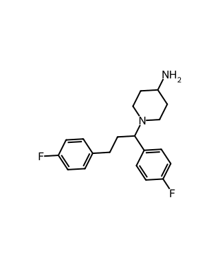 NC1CCN(C(CCc2ccc(F)cc2)c2ccc(F)cc2)CC1